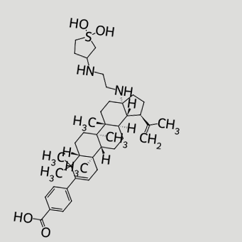 C=C(C)[C@@H]1CC[C@]2(NCCNC3CCS(O)(O)C3)CC[C@]3(C)[C@H](CC[C@@H]4[C@@]5(C)CC=C(c6ccc(C(=O)O)cc6)C(C)(C)[C@@H]5CC[C@]43C)[C@@H]12